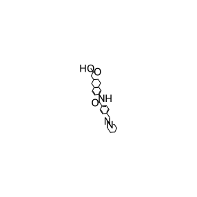 O=C(O)CC1CCc2cc(NC(=O)c3ccc(C=NN4CCCCC4)cc3)ccc2C1